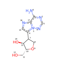 Nc1ncnn2c(C3CO[C@H](CO)[C@H]3O)cnc12